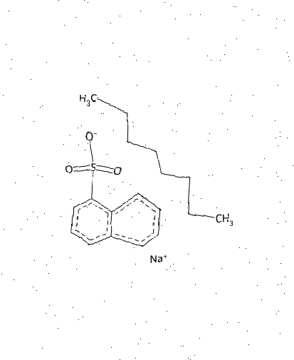 CCCCCCCC.O=S(=O)([O-])c1cccc2ccccc12.[Na+]